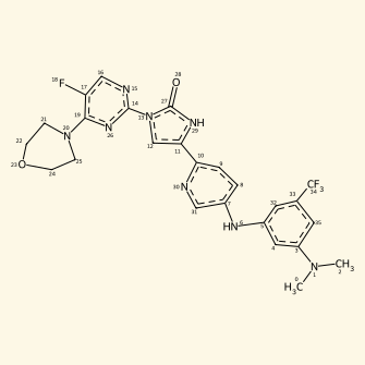 CN(C)c1cc(Nc2ccc(-c3cn(-c4ncc(F)c(N5CCOCC5)n4)c(=O)[nH]3)nc2)cc(C(F)(F)F)c1